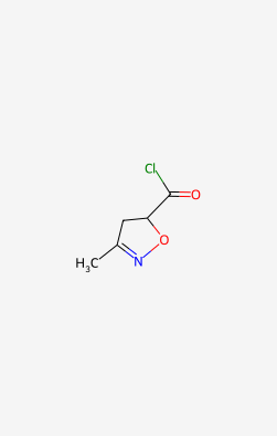 CC1=NOC(C(=O)Cl)C1